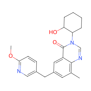 COc1ccc(Cc2cc(C)c3ncn(C4CCCCC4O)c(=O)c3c2)cn1